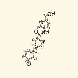 O=C(Nc1ccc(CO)nc1)c1ccc(Cc2cccc(Cl)c2)cn1